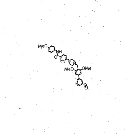 CCOc1cncc(-c2cc(OC)c(CN3CCN(c4ccc(C(=O)Nc5ccc(OC)cc5)nn4)CC3)c(OC)c2)c1